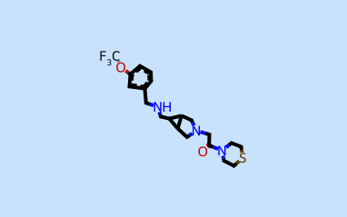 O=C(CN1CC2C(CNCc3cccc(OC(F)(F)F)c3)C2C1)N1CCSCC1